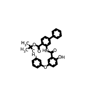 CC(C)(C)OC(=O)c1ccc(-c2ccccc2)cc1NC(=O)c1cc(Oc2ccccc2)ccc1O